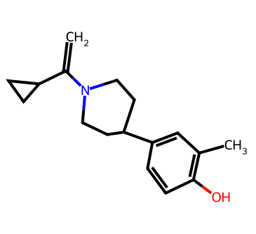 C=C(C1CC1)N1CCC(c2ccc(O)c(C)c2)CC1